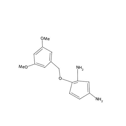 COc1cc(COc2ccc(N)cc2N)cc(OC)c1